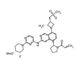 C=CC(=O)N1CCC[C@H]1c1ccc(N2C[C@H](CS(C)(=O)=O)[C@H]2C)c2cnc(Nc3ccnc(N4CC[C@@H](OC)[C@@H](F)C4)n3)cc12